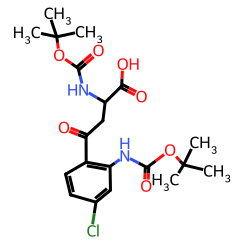 CC(C)(C)OC(=O)Nc1cc(Cl)ccc1C(=O)CC(NC(=O)OC(C)(C)C)C(=O)O